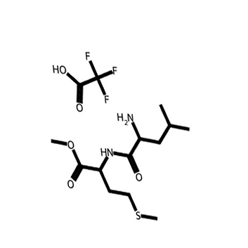 COC(=O)C(CCSC)NC(=O)C(N)CC(C)C.O=C(O)C(F)(F)F